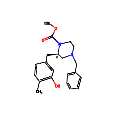 Cc1ccc(C[C@@H]2CN(Cc3ccccc3)CCN2C(=O)OC(C)(C)C)cc1O